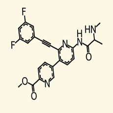 CNC(C)C(=O)Nc1ccc(-c2ccc(C(=O)OC)nc2)c(C#Cc2cc(F)cc(F)c2)n1